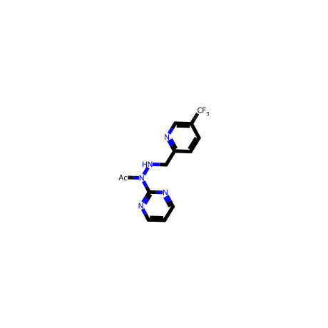 CC(=O)N(NCc1ccc(C(F)(F)F)cn1)c1ncccn1